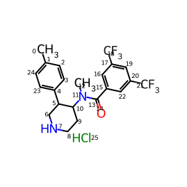 Cc1ccc(C2CNCCC2N(C)C(=O)c2cc(C(F)(F)F)cc(C(F)(F)F)c2)cc1.Cl